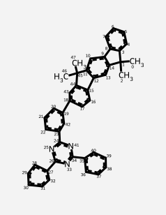 CC1(C)c2ccccc2-c2cc3c(cc21)-c1ccc(-c2cccc(-c4nc(-c5ccccc5)nc(-c5ccccc5)n4)c2)cc1C3(C)C